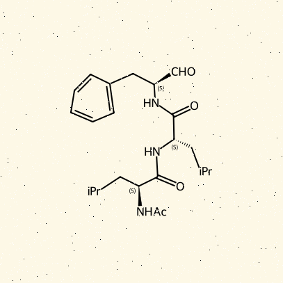 CC(=O)N[C@@H](CC(C)C)C(=O)N[C@@H](CC(C)C)C(=O)N[C@H](C=O)Cc1ccccc1